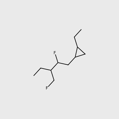 CCC(CF)C(F)CC1CC1CC